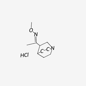 CON=C(C)C1CN2CCC1CC2.Cl